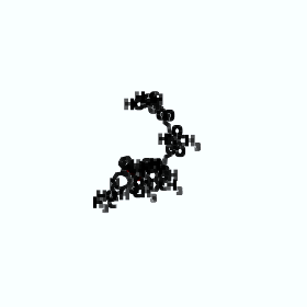 CCC(COC(=O)CCCC(=O)N[C@H](C)C(=O)OCCCNC(=O)[C@]1(O)C2N(C)c3cc(OC)c([C@@]4(C(=O)OC)C[C@@H]5C[N@](CCc6c4[nH]c4ccccc64)CC(O)(CC)C5)cc3[C@@]23CCN2CC=C[C@](CC)(C23)[C@H]1O)OC(O)CO